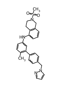 Cc1ccc(Nc2cccc3c2CCN(S(C)(=O)=O)C3)cc1-c1ccc(Cn2cccn2)cc1